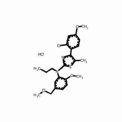 CCCN(c1nc(-c2ccc(OC)cc2Cl)c(C)s1)c1cc(COC)ccc1OC.Cl